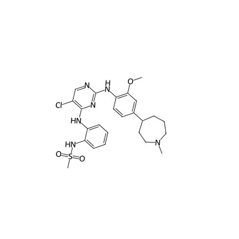 COc1cc(C2CCCN(C)CC2)ccc1Nc1ncc(Cl)c(Nc2ccccc2NS(C)(=O)=O)n1